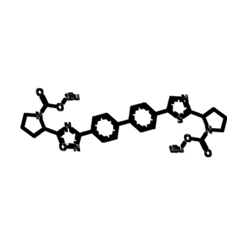 CC(C)(C)OC(=O)N1CCCC1c1nc(-c2ccc(-c3ccc(-c4cnc(C5CCCN5C(=O)OC(C)(C)C)s4)cc3)cc2)no1